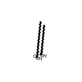 CCCCCCCCCCCCCCCCC=CC(=O)O.CCCCCCCCCCCCCCCCCCCCCCC(=O)O